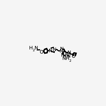 NCCOc1ccc(N2CCN(CCn3ncc4c3nc(N)n3nc(-c5ccco5)nc43)CC2)cc1